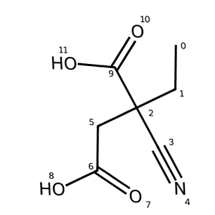 CCC(C#N)(CC(=O)O)C(=O)O